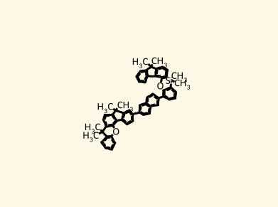 CC1(C)c2ccccc2Oc2c1ccc1c2-c2ccc(-c3ccc4cc(-c5cccc6c5Oc5c(ccc7c5-c5ccccc5C7(C)C)[Si]6(C)C)ccc4c3)cc2C1(C)C